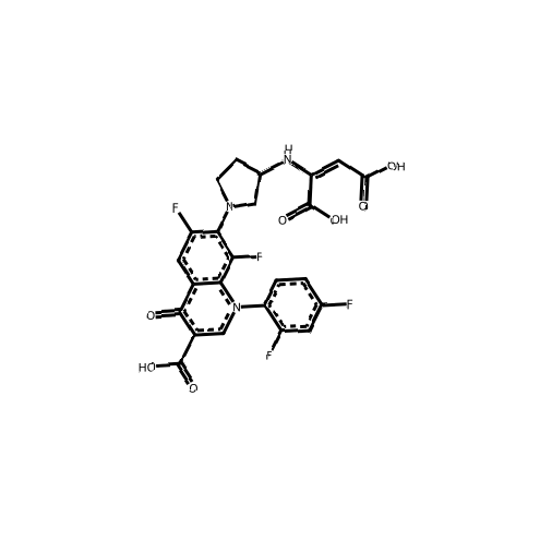 O=C(O)C=C(NC1CCN(c2c(F)cc3c(=O)c(C(=O)O)cn(-c4ccc(F)cc4F)c3c2F)C1)C(=O)O